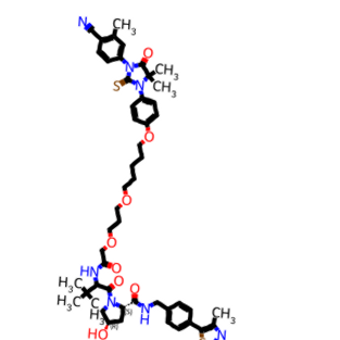 Cc1cc(N2C(=O)C(C)(C)N(c3ccc(OCCCCCOCCCOCC(=O)NC(C(=O)N4C[C@H](O)C[C@H]4C(=O)NCc4ccc(-c5scnc5C)cc4)C(C)(C)C)cc3)C2=S)ccc1C#N